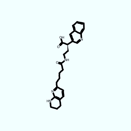 O=C(CCCCc1ccc2c(n1)NCCC2)NCC[C@@H](C(=O)O)c1cnc2ccccc2c1